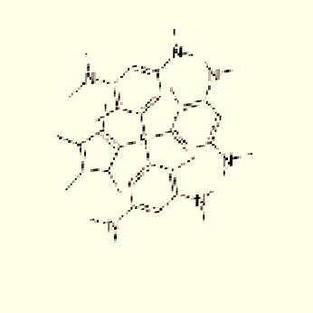 CC1=C(C)C(C)C([Si](c2cc(N(C)C)cc(N(C)C)c2C)(c2cc(N(C)C)cc(N(C)C)c2C)c2cc(N(C)C)cc(N(C)C)c2C)=C1C